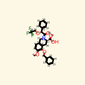 COc1ccc2c(c1OCc1ccccc1)C[C@H](C(=O)O)N(C(=O)[C@H](OCC(F)(F)F)c1ccccc1)C2